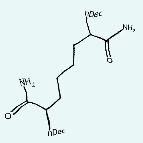 CCCCCCCCCCC(CCCCC(CCCCCCCCCC)C(N)=O)C(N)=O